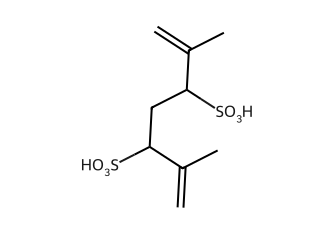 C=C(C)C(CC(C(=C)C)S(=O)(=O)O)S(=O)(=O)O